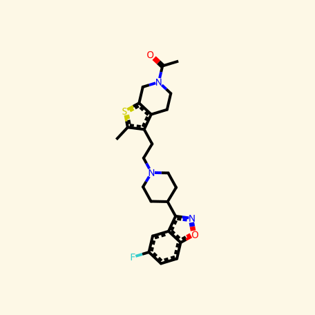 CC(=O)N1CCc2c(sc(C)c2CCN2CCC(c3noc4ccc(F)cc34)CC2)C1